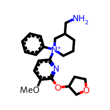 COc1ccc([N+]2(c3ccccc3)CCCC(CN)C2)nc1OC1CCOC1